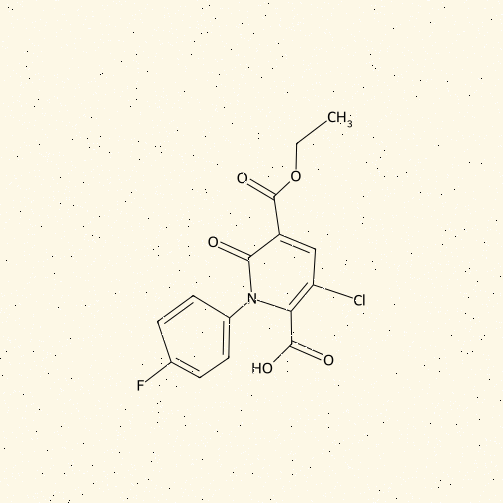 CCOC(=O)c1cc(Cl)c(C(=O)O)n(-c2ccc(F)cc2)c1=O